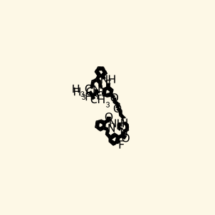 C[C@@H]1Cc2c([nH]c3ccccc23)[C@@H](c2c(F)cc(OCCOCCCN3CCN(C(=O)c4cc(Cc5n[nH]c(=O)c6ccccc56)ccc4F)CC3)cc2F)N1CC(C)(C)F